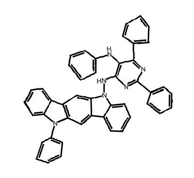 c1ccc(Nc2c(Nn3c4ccccc4c4cc5c(cc43)c3ccccc3n5-c3ccccc3)nc(-c3ccccc3)nc2-c2ccccc2)cc1